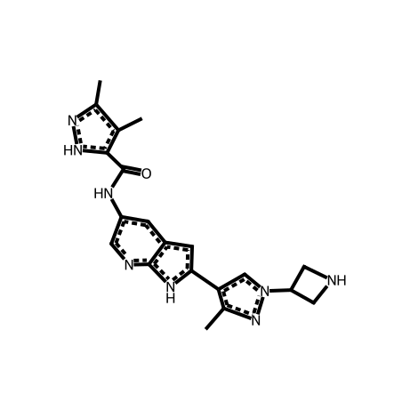 Cc1nn(C2CNC2)cc1-c1cc2cc(NC(=O)c3[nH]nc(C)c3C)cnc2[nH]1